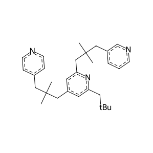 CC(C)(C)Cc1cc(CC(C)(C)Cc2ccncc2)cc(CC(C)(C)Cc2cccnc2)n1